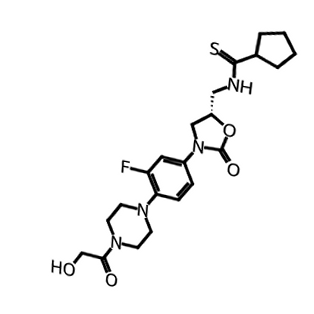 O=C(CO)N1CCN(c2ccc(N3C[C@H](CNC(=S)C4CCCC4)OC3=O)cc2F)CC1